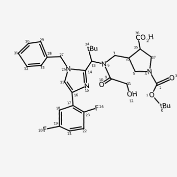 CC(C)(C)OC(=O)N1CC(CN(C(=O)CO)C(c2nc(-c3cc(F)ccc3F)cn2Cc2ccccc2)C(C)(C)C)C(C(=O)O)C1